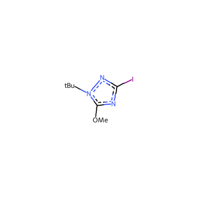 COc1nc(I)nn1C(C)(C)C